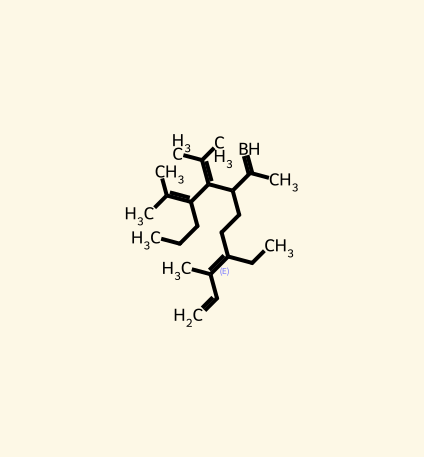 B=C(C)C(CC/C(CC)=C(\C)C=C)C(=C(C)C)C(CCC)=C(C)C